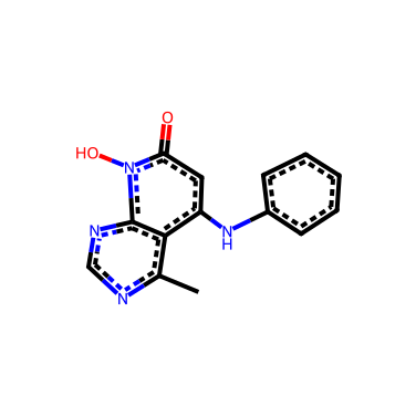 Cc1ncnc2c1c(Nc1ccccc1)cc(=O)n2O